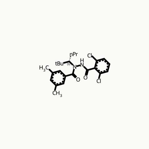 CCC[C@H](N(NC(=O)c1c(Cl)cccc1Cl)C(=O)c1cc(C)cc(C)c1)C(C)(C)C